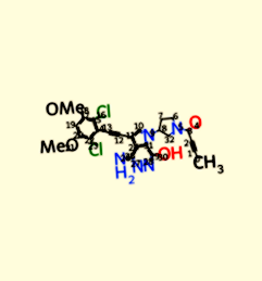 CC#CC(=O)N1CCC(n2cc(C#Cc3c(Cl)c(OC)cc(OC)c3Cl)c3c(N)nnc(O)c32)C1